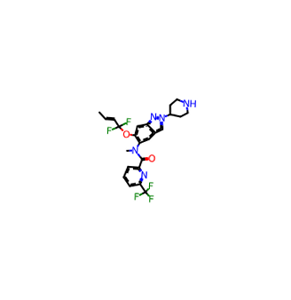 C/C=C/C(F)(F)Oc1cc2nn(C3CCNCC3)cc2cc1N(C)C(=O)c1cccc(C(F)(F)F)n1